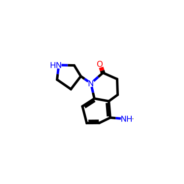 [NH]c1cccc2c1CCC(=O)N2C1CCNC1